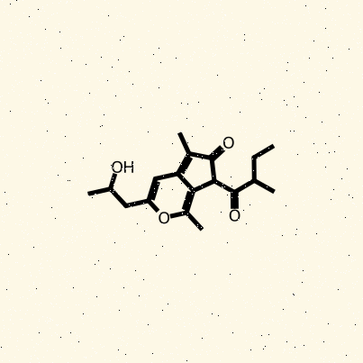 CCC(C)C(=O)C1C(=O)C(C)=C2C=C(CC(C)O)OC(C)=C21